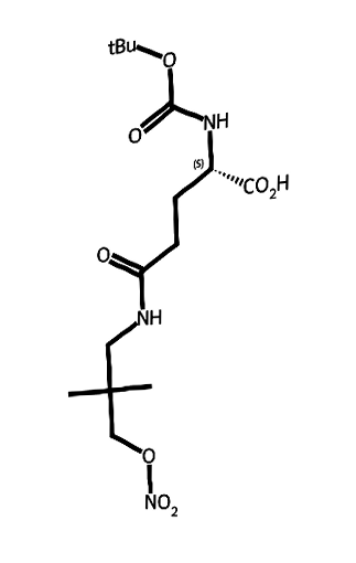 CC(C)(CNC(=O)CC[C@H](NC(=O)OC(C)(C)C)C(=O)O)CO[N+](=O)[O-]